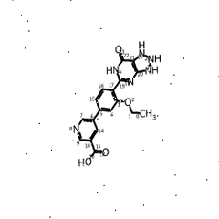 CCOc1cc(-c2cncc(C(=O)O)c2)ccc1-c1nc2c(c(=O)[nH]1)NNN2